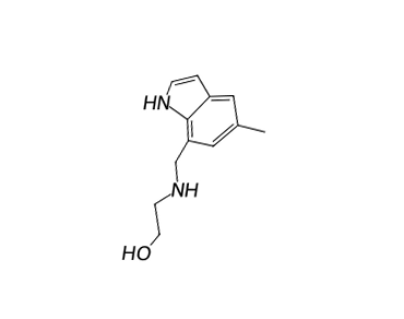 Cc1cc(CNCCO)c2[nH]ccc2c1